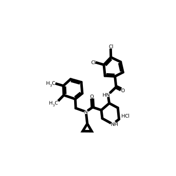 Cc1cccc(CN(C(=O)C2CNCCC2NC(=O)c2ccc(Cl)c(Cl)c2)C2CC2)c1C.Cl